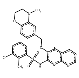 Cc1c(Cl)cccc1S(=O)(=O)Nc1nc2ncccc2nc1OCc1ccc2c(c1)N(C)CCO2